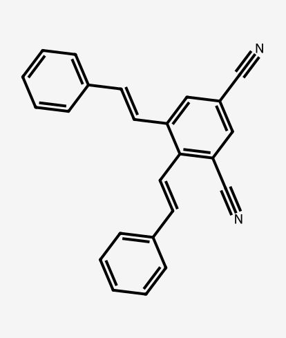 N#Cc1cc(C#N)c(/C=C/c2ccccc2)c(/C=C/c2ccccc2)c1